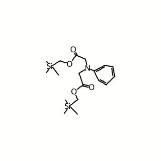 C[Si](C)(C)COC(=O)CN(CC(=O)OC[Si](C)(C)C)c1ccccc1